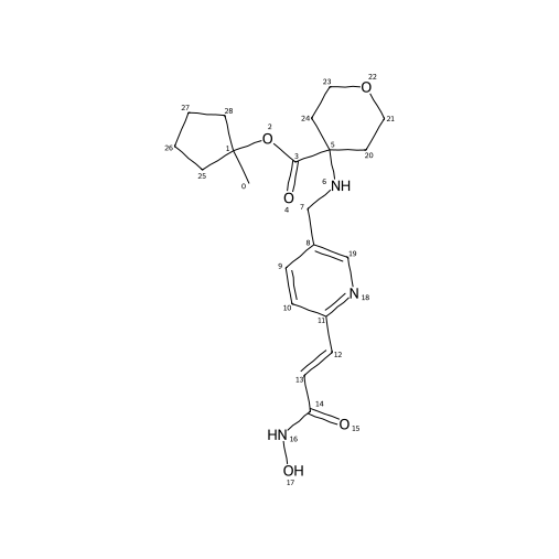 CC1(OC(=O)C2(NCc3ccc(/C=C/C(=O)NO)nc3)CCOCC2)CCCC1